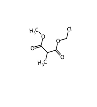 COC(=O)C(C)C(=O)OCCl